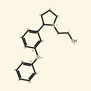 OCCN1CCCC1c1cccc(Oc2ccccc2)c1